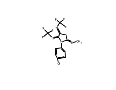 CN=C1SC(=NC(F)(F)F)C(=NC(F)(F)F)N1c1ccc(Cl)cc1